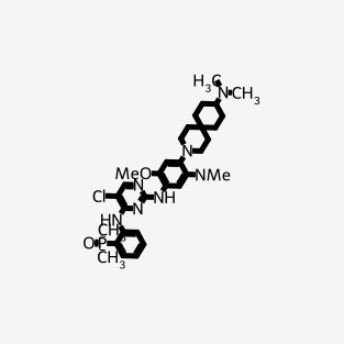 CNc1cc(Nc2ncc(Cl)c(Nc3ccccc3P(C)(C)=O)n2)c(OC)cc1N1CCC2(CCC(N(C)C)CC2)CC1